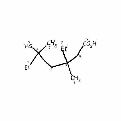 CCC(C)(S)CC(C)(CC)CC(=O)O